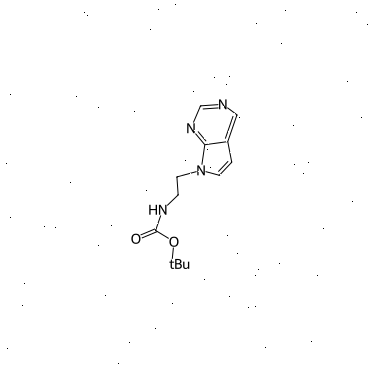 CC(C)(C)OC(=O)NCCn1ccc2cncnc21